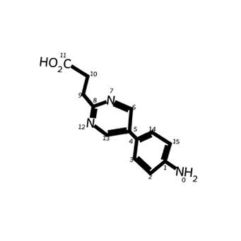 Nc1ccc(-c2cnc(CCC(=O)O)nc2)cc1